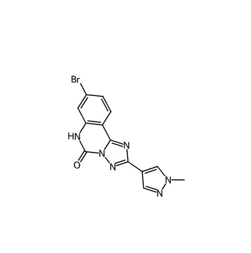 Cn1cc(-c2nc3c4ccc(Br)cc4[nH]c(=O)n3n2)cn1